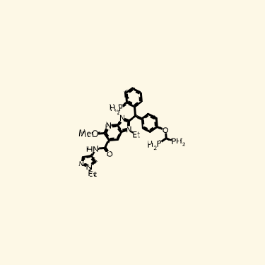 CCn1cc(NC(=O)c2cc3c(nc2OC)nc(C(c2ccc(OC(P)P)cc2)c2ccccc2P)n3CC)cn1